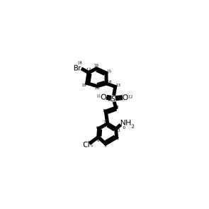 Nc1ccc(Cl)cc1C=CS(=O)(=O)Cc1ccc(Br)cc1